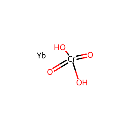 [O]=[Cr](=[O])([OH])[OH].[Yb]